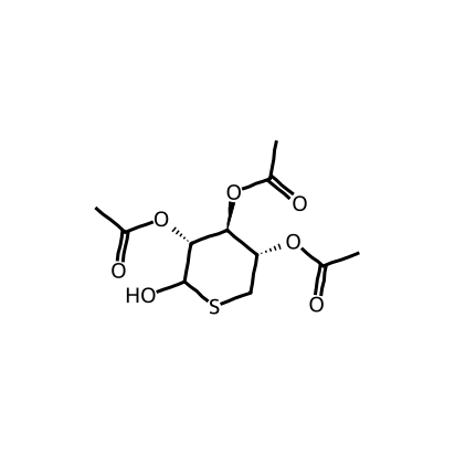 CC(=O)O[C@H]1[C@H](OC(C)=O)CSC(O)[C@@H]1OC(C)=O